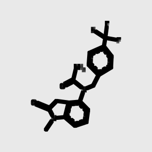 CN1C(=O)Cc2c1cccc2N(Cc1ccc(C(F)(F)F)cc1)C(N)=O